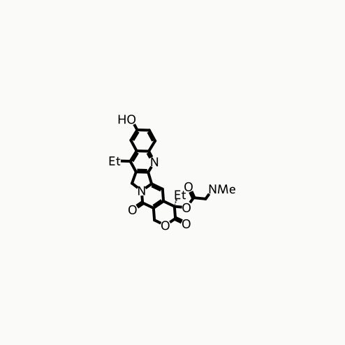 CCc1c2c(nc3ccc(O)cc13)-c1cc3c(c(=O)n1C2)COC(=O)[C@]3(CC)OC(=O)CNC